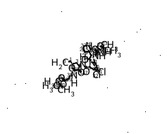 C=CCCC(NC(=O)[C@@H]1C2C(CN1C(=O)[C@@H](NC(=O)NC(C)(C)C)C1CCCCC1)C2(Cl)Cl)C(=O)C(=O)NCCC(=O)OC(C)(C)C